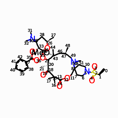 C=CS(=O)(=O)N1CCC2(CC1)COC(=O)C(C)(C)C(=O)[C@H](C)[C@@H](O[C@@H]1O[C@H](C)C[C@H](N(C)C)[C@H]1OC(=O)c1ccccc1)[C@](C)(OC)C[C@@H](C)CN2C